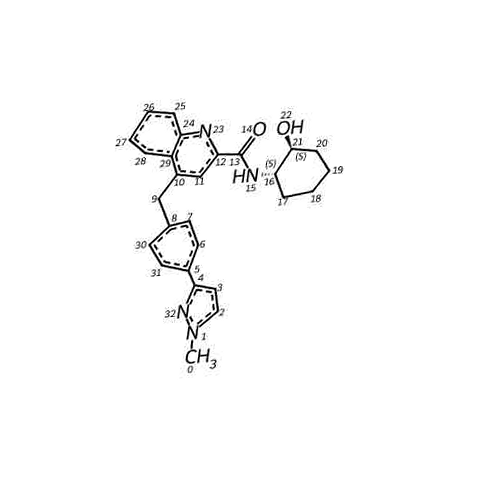 Cn1ccc(-c2ccc(Cc3cc(C(=O)N[C@H]4CCCC[C@@H]4O)nc4ccccc34)cc2)n1